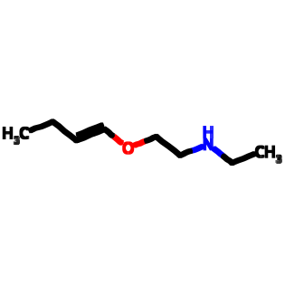 CCC=COCCNCC